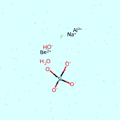 O.[Al+3].[Be+2].[F-].[Na+].[O-][Si]([O-])([O-])[O-].[OH-]